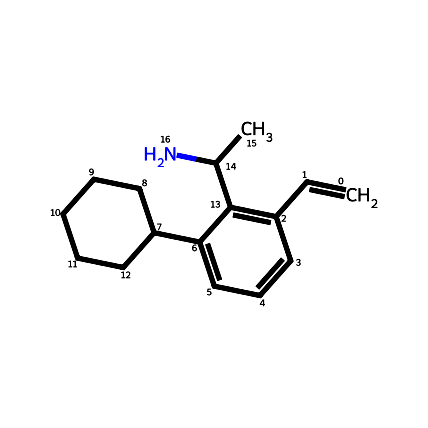 C=Cc1cccc(C2CCCCC2)c1C(C)N